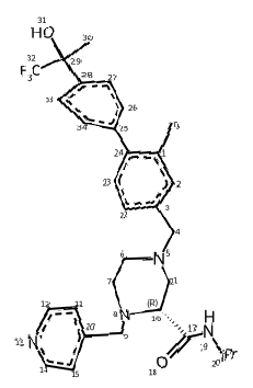 Cc1cc(CN2CCN(Cc3ccncc3)[C@@H](C(=O)NC(C)C)C2)ccc1-c1ccc(C(C)(O)C(F)(F)F)cc1